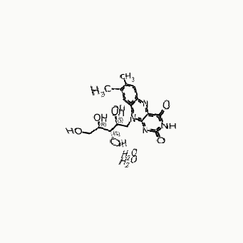 Cc1cc2nc3c(=O)[nH]c(=O)nc-3n(C[C@H](O)[C@H](O)[C@H](O)CO)c2cc1C.O.O